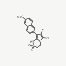 COc1ccc2cc(-c3c(Cl)c(Cl)n4c3NS(=O)(=O)CC4)ccc2c1